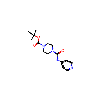 CC(C)(C)OC(=O)N1CCN(C(=O)Nc2ccncc2)CC1